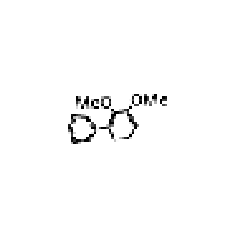 COC1=CC[CH]C(c2ccccc2)=C1OC